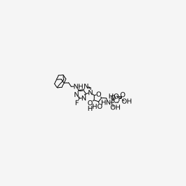 O=P(O)(O)CP(=O)(O)NCC1OC(n2cnc3c(NCCC45CC6CC(CC(C6)C4)C5)nc(F)nc32)C(O)C1O